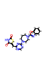 O=C1NC(=O)C(=Cc2ncnc(N3CCCN(c4nc5ccccc5o4)CC3)n2)S1